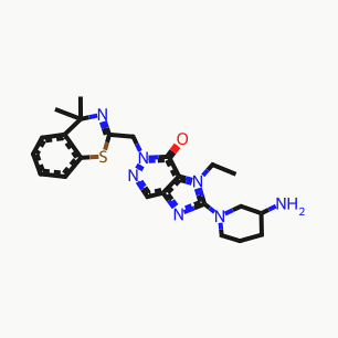 CCn1c(N2CCCC(N)C2)nc2cnn(CC3=NC(C)(C)c4ccccc4S3)c(=O)c21